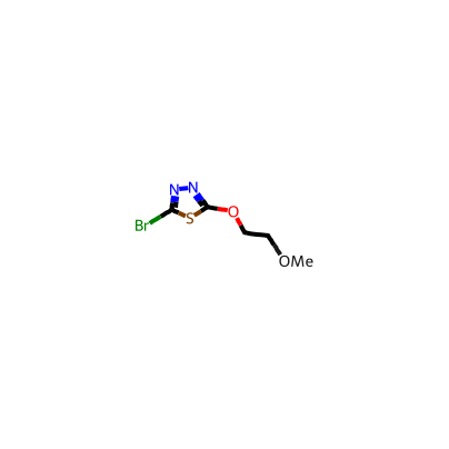 COCCOc1nnc(Br)s1